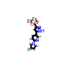 CCOC(OCC)c1cc(-c2ccc(N3CC[C@H](F)C3)nc2)[nH]n1